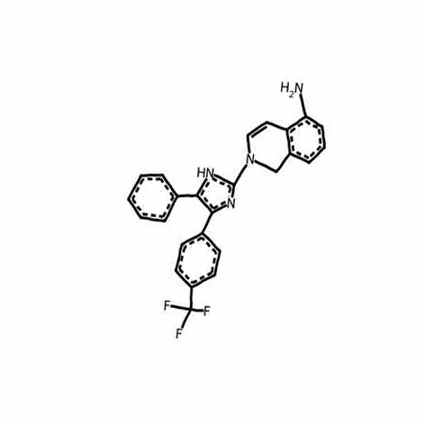 Nc1cccc2c1C=CN(c1nc(-c3ccc(C(F)(F)F)cc3)c(-c3ccccc3)[nH]1)C2